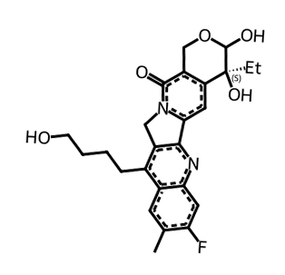 CC[C@]1(O)c2cc3n(c(=O)c2COC1O)Cc1c-3nc2cc(F)c(C)cc2c1CCCCO